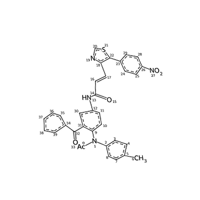 CC(=O)N(c1ccc(C)cc1)c1ccc(NC(=O)C=Cc2ncsc2-c2ccc([N+](=O)[O-])cc2)cc1C(=O)c1ccccc1